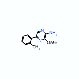 COc1nc(-c2ccccc2C)cnc1N